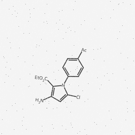 CCOC(=O)c1c(N)cc(Cl)n1-c1ccc(C(C)=O)cc1